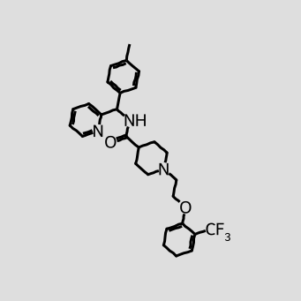 Cc1ccc(C(NC(=O)C2CCN(CCOC3=CCCC=C3C(F)(F)F)CC2)c2ccccn2)cc1